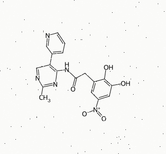 Cc1ncc(-c2cccnc2)c(NC(=O)Cc2cc([N+](=O)[O-])cc(O)c2O)n1